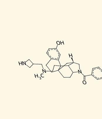 CN(CCC12c3cc(O)ccc3CCC13CCC1C2[C@@H](CN1C(=O)c1ccccc1)C3)CC1CNC1